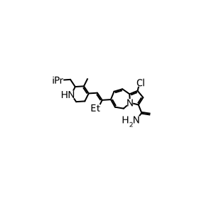 C=C(N)c1cc(Cl)c2n1CC=C(/C(=C/C1=C(C)C(CC(C)C)NCC1)CC)C=C2